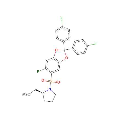 COC[C@@H]1CCCN1S(=O)(=O)c1cc2c(cc1F)OC(c1ccc(F)cc1)(c1ccc(F)cc1)O2